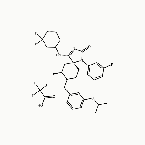 CC(C)Oc1cccc(CN2CC[C@@]3(C[C@@H]2C)C(NC2CCCC(F)(F)C2)=NC(=O)N3c2cccc(F)c2)c1.O=C(O)C(F)(F)F